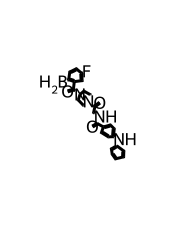 Bc1ccc(F)cc1C(=O)N1CCN(C(=O)CNC(=O)c2ccc(Nc3ccccc3)cc2)CC1